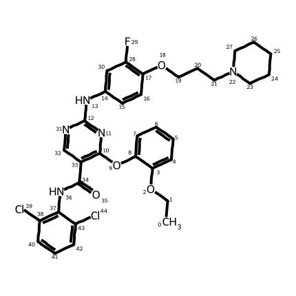 CCOc1ccccc1Oc1nc(Nc2ccc(OCCCN3CCCCC3)c(F)c2)ncc1C(=O)Nc1c(Cl)cccc1Cl